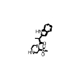 C[C](C(=O)N1CCNCC1S(C)(=O)=O)c1cc2ccccc2[nH]1